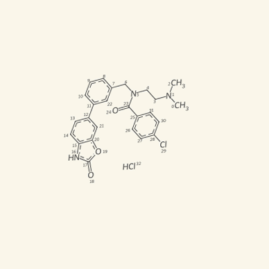 CN(C)CCN(Cc1cccc(-c2ccc3[nH]c(=O)oc3c2)c1)C(=O)c1ccc(Cl)cc1.Cl